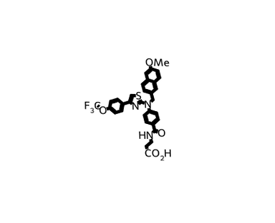 COc1ccc2cc(CN(c3ccc(C(=O)NCCC(=O)O)cc3)c3nc(-c4ccc(OC(F)(F)F)cc4)cs3)ccc2c1